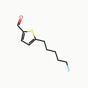 O=Cc1ccc(CCCCCF)s1